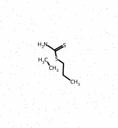 CC.CCCSC(N)=S